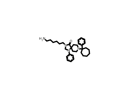 NCCCCCCN1CN(c2ccccc2)C2(CCN(C3(c4ccccc4)CCCCCC3)CC2)C1=O